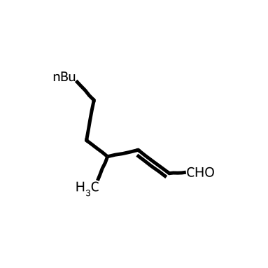 CCCCCCC(C)C=CC=O